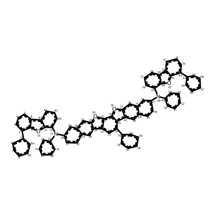 c1ccc(-c2cccc3c2oc2c(N(c4ccccc4)c4ccc5cc6c(cc5c4)oc4c6cc(-c5ccccc5)c5c6cc7ccc(N(c8ccccc8)c8cccc9c8oc8c(-c%10ccccc%10)cccc89)cc7cc6oc45)cccc23)cc1